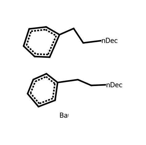 CCCCCCCCCCCCc1ccccc1.CCCCCCCCCCCCc1ccccc1.[Ba]